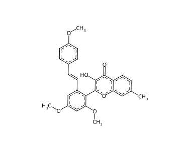 COc1ccc(/C=C/c2cc(OC)cc(OC)c2-c2oc3cc(C)ccc3c(=O)c2O)cc1